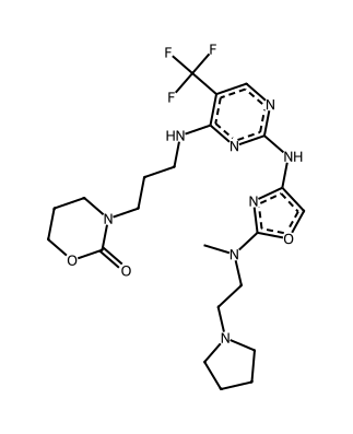 CN(CCN1CCCC1)c1nc(Nc2ncc(C(F)(F)F)c(NCCCN3CCCOC3=O)n2)co1